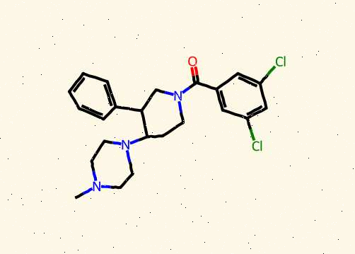 CN1CCN(C2CCN(C(=O)c3cc(Cl)cc(Cl)c3)CC2c2ccccc2)CC1